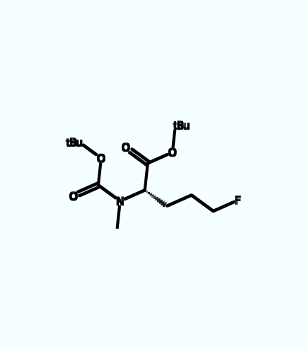 CN(C(=O)OC(C)(C)C)[C@@H](CCCF)C(=O)OC(C)(C)C